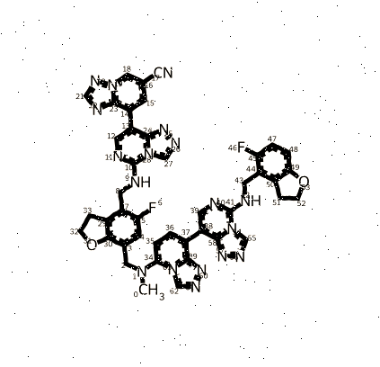 CN(Cc1cc(F)c(CNc2ncc(-c3cc(C#N)cn4ncnc34)c3nncn23)c2c1OCC2)c1ccc(-c2cnc(NCc3c(F)ccc4c3CCO4)n3cnnc23)c2nncn12